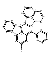 Fc1cc2c(-c3ccccc3)c3c4cccc5cccc(c54)c3c3c4ccccc4c(c1)c23